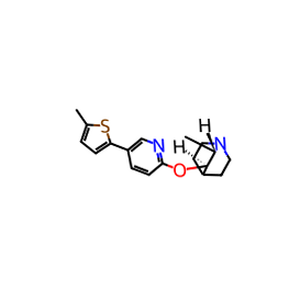 Cc1ccc(-c2ccc(O[C@@H]3C4CCN(CC4)[C@H]3C)nc2)s1